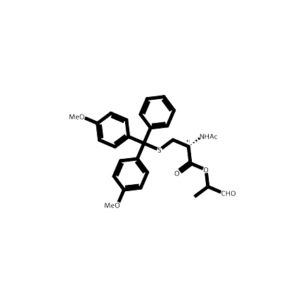 COc1ccc(C(SC[C@H](NC(C)=O)C(=O)OC(C)C=O)(c2ccccc2)c2ccc(OC)cc2)cc1